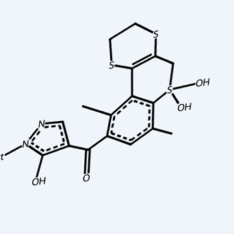 CCn1ncc(C(=O)c2cc(C)c3c(c2C)C2=C(CS3(O)O)SCCS2)c1O